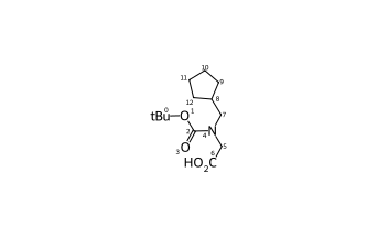 CC(C)(C)OC(=O)N(CC(=O)O)CC1CCCC1